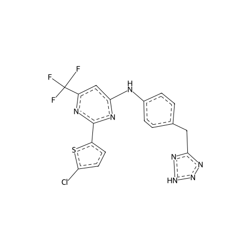 FC(F)(F)c1cc(Nc2ccc(Cc3nn[nH]n3)cc2)nc(-c2ccc(Cl)s2)n1